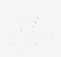 CN(C)[C@@H]1C(O)=C(C(N)=O)C(=O)[C@@]2(O)C(O)=C3C(=O)c4c(O)cccc4[C@H](c4nc5ccccc5s4)[C@H]3CC12